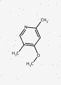 [CH2]c1cc(OC)c(C)cn1